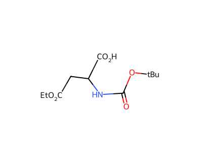 CCOC(=O)CC(NC(=O)OC(C)(C)C)C(=O)O